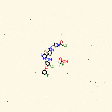 O=C(CCl)N1CCC(Cn2cc3c(n2)CCc2c-3sc3ncnc(Nc4ccc(OCc5cccc(F)c5)c(Cl)c4)c23)CC1.O=C(O)C(F)(F)F